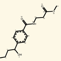 CCCC(O)c1ccc(C(=O)NCCC(=O)OC)cc1